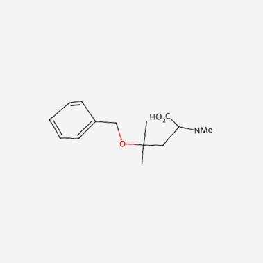 CNC(CC(C)(C)OCc1ccccc1)C(=O)O